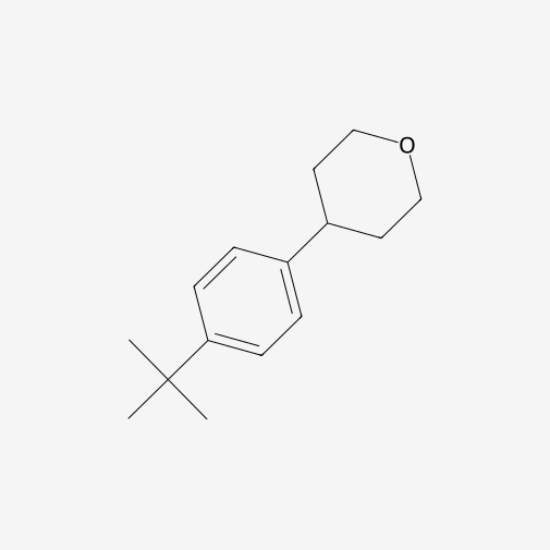 CC(C)(C)c1ccc(C2CCOCC2)cc1